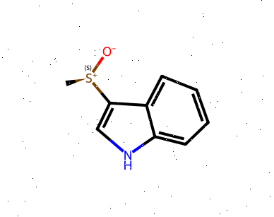 C[S@@+]([O-])c1c[nH]c2ccccc12